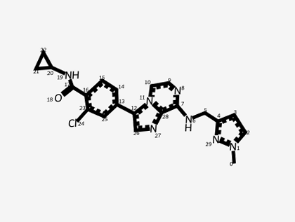 Cn1ccc(CNc2nccn3c(-c4ccc(C(=O)NC5CC5)c(Cl)c4)cnc23)n1